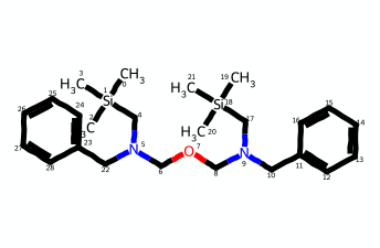 C[Si](C)(C)CN(COCN(Cc1ccccc1)C[Si](C)(C)C)Cc1ccccc1